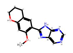 COc1cc2c(cc1-c1nc3cncnc3[nH]1)CCCO2